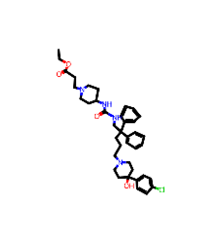 CCOC(=O)CCN1CCC(NC(=O)NCC(CCCN2CCC(O)(c3ccc(Cl)cc3)CC2)(c2ccccc2)c2ccccc2)CC1